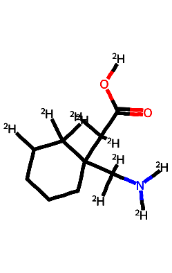 [2H]OC(=O)C([2H])([2H])C1(C([2H])([2H])N([2H])[2H])CCCC([2H])C1([2H])[2H]